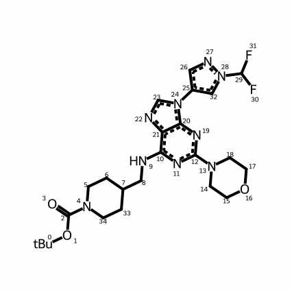 CC(C)(C)OC(=O)N1CCC(CNc2nc(N3CCOCC3)nc3c2ncn3-c2cnn(C(F)F)c2)CC1